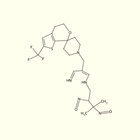 CC(C)(N=O)C(CN/C=C(\C=N)CN1CCC2(CC1)OCCc1cc(C(F)(F)F)sc12)N=O